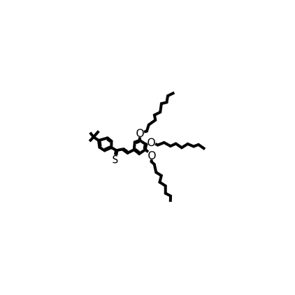 CCCCCCCCCOc1cc(C=CC(=S)c2ccc(C(C)(C)C)cc2)cc(OCCCCCCCCC)c1OCCCCCCCCC